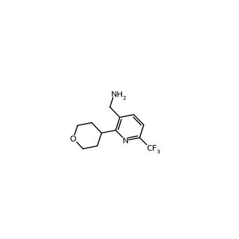 NCc1ccc(C(F)(F)F)nc1C1CCOCC1